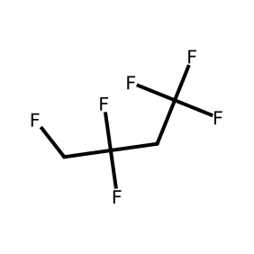 FCC(F)(F)CC(F)(F)F